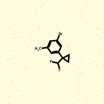 Cc1cc(Br)cc(C2(C(F)F)CC2)c1